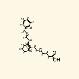 O=C(O)CCCOCCC1C2CCC(O2)C1CCSCc1ccccc1